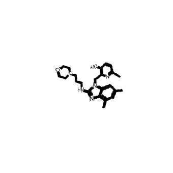 Cc1cc(C)c2nc(NCCCN3CCOCC3)n(Cc3nc(C)ccc3O)c2c1